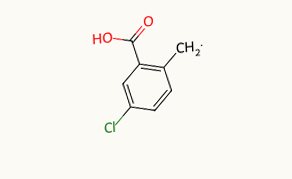 [CH2]c1ccc(Cl)cc1C(=O)O